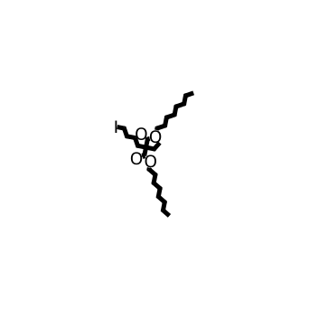 CCCCCCCCOC(=O)C(CC)(CCCCI)C(=O)OCCCCCCCC